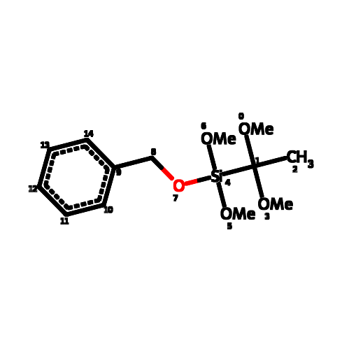 COC(C)(OC)[Si](OC)(OC)OCc1ccccc1